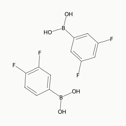 OB(O)c1cc(F)cc(F)c1.OB(O)c1ccc(F)c(F)c1